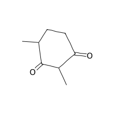 CC1CCC(=O)C(C)C1=O